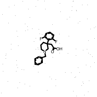 O=C(O)CC1(c2c(F)cccc2F)CCCN(Cc2ccccc2)C1